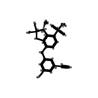 CS(=O)(=O)c1ccc(Oc2cc(F)cc(C#N)c2)c2c1[C@@H](O)C(F)(F)C2